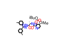 COc1ccnc(C(=O)N[C@@H](C)C(=O)NN=C(c2cccc(C)c2)c2cccc(C)c2)c1OC(=O)OCC(C)C